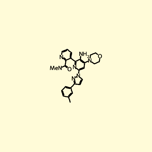 CNC(=O)c1ncccc1-c1nc(-n2ccc(-c3cccc(C)c3)n2)cc(N2CCOCC2)c1N